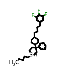 CCCCC[SiH]1CCC(c2ccccc2)(C2CCC(CCCCc3cc(F)c(F)c(F)c3)CC2)CC1